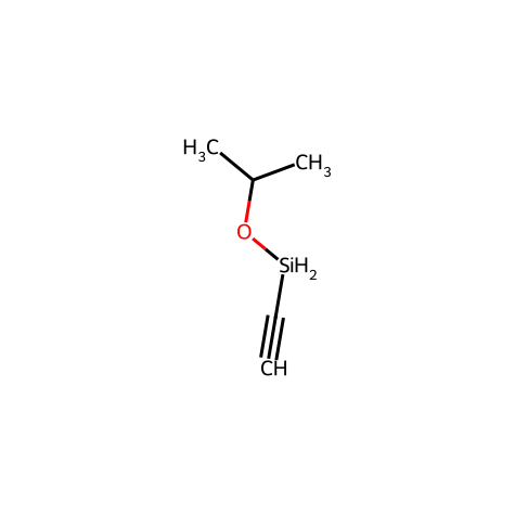 C#C[SiH2]OC(C)C